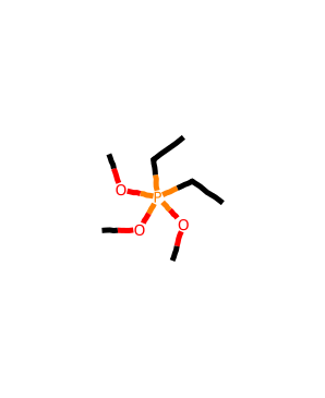 CCP(CC)(OC)(OC)OC